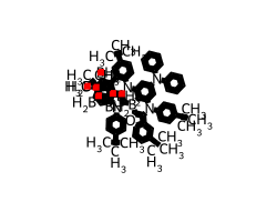 Bc1c(B)c(B)c(-c2cc(C(C)(C)C)ccc2N2c3cc(N(c4ccccc4)c4ccccc4)cc4c3B(c3oc5ccc(C(C)(C)C)cc5c3N4c3ccc(C(C)(C)C)cc3)c3c2c2cc(C(C)(C)C)ccc2n3-c2ccc(C(C)(C)C)cc2)c(B)c1B